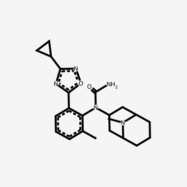 Cc1cccc(-c2nc(C3CC3)no2)c1N(C(N)=O)C1CC2CCCC(C1)N2C